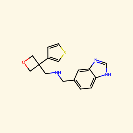 c1nc2cc(CNCC3(c4ccsc4)COC3)ccc2[nH]1